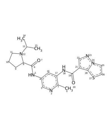 Cc1ncc(NC(=O)C2CCCN2C(C)C)cc1NC(=O)c1cnn2ccsc12